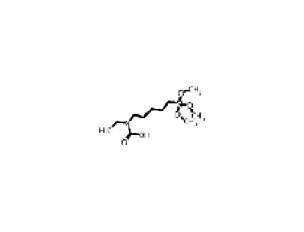 CCN(CCCCC[Si](OC)(OC)OC)C(=O)O